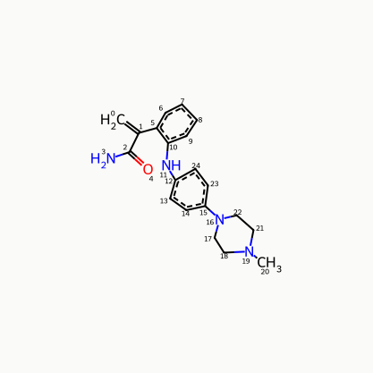 C=C(C(N)=O)c1ccccc1Nc1ccc(N2CCN(C)CC2)cc1